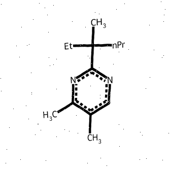 CCCC(C)(CC)c1ncc(C)c(C)n1